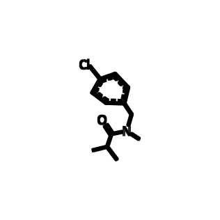 CC(C)C(=O)N(C)Cc1ccc(Cl)cc1